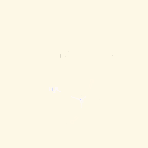 CC(N)(CC[SiH](c1ccccc1)c1ccccc1)N1C(=O)C=CC1=O